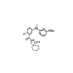 CNc1cncc(N(C)c2ccc(Cl)c(C(=O)NCC3(O)CCCCC3)c2)n1